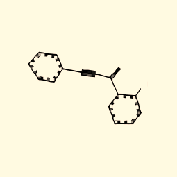 O=C(C#Cc1ccccc1)c1ccccc1Cl